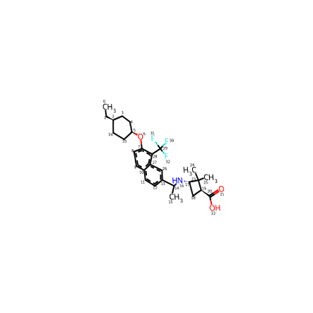 CC[C@H]1CC[C@@H](Oc2ccc3ccc(C(C)N[C@H]4C[C@H](C(=O)O)C4(C)C)cc3c2C(F)(F)F)CC1